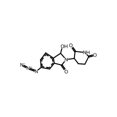 [N-]=[N+]=Nc1ccc2c(c1)C(=O)N(C1CCC(=O)NC1=O)C2O